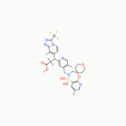 COC(=O)C(C)(C)C(c1cc(CN2CC3(CCOCC3)Oc3ncc(C)cc3S2(O)O)c(C)cn1)c1ccn2c(C(F)(F)F)nnc2c1C